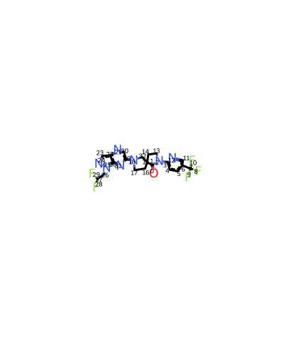 O=C1N(c2ccc(C(F)(F)F)cn2)CCC12CCN(c1cnc3cnn(CC(F)F)c3n1)C2